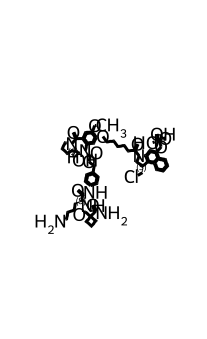 COc1cc2c(cc1OCCCCCC(=O)N1C[C@@H](CCl)c3c1cc(OP(=O)(O)O)c1ccccc31)N(C(=O)OCc1ccc(NC(=O)[C@H](CCCCN)NC(=O)C3(C(N)=O)CCC3)cc1)C(O)[C@@H]1CCCN1C2=O